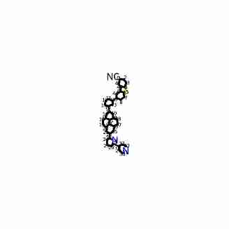 N#Cc1ccc2sc3ccc(-c4cccc(-c5cc6ccc7cc(-c8cccc(-c9ccncc9)n8)cc8ccc(c5)c6c78)c4)cc3c2c1